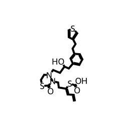 C=C/C=C(/CCN1C(=O)SCCN1CCC(O)Cc1cccc(CCc2ccsc2)c1)SC(=O)O